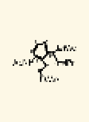 COCCc1c(NC(C)=O)cccc1[C](CC(C)C)OC